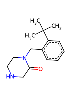 CC(C)(C)c1ccccc1CN1CCNCC1=O